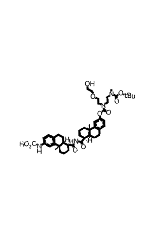 CN(CCN(CCOCCO)C(=O)Oc1ccc2c(c1)[C@@]1(C)CCC[C@](C)(C(=O)NC(=O)[C@@]3(C)CCC[C@]4(C)c5cc(NC(=O)O)ccc5CC[C@@H]34)[C@@H]1CC2)C(=O)OC(C)(C)C